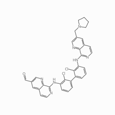 O=Cc1cnc2c(Nc3cccc(-c4cccc(Nc5nccc6cc(CN7CCCC7)cnc56)c4Cl)c3Cl)nccc2c1